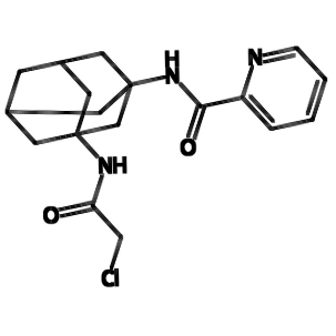 O=C(CCl)NC12CC3CC(C1)CC(NC(=O)c1ccccn1)(C3)C2